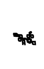 C=CC(=O)Oc1cc(Cl)ccc1CNC(=O)OC(C)(C)C